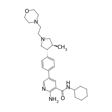 C[C@@H]1CN(CCN2CCOCC2)C[C@H]1c1ccc(-c2cnc(N)c(C(=O)NC3CCCCC3)c2)cc1